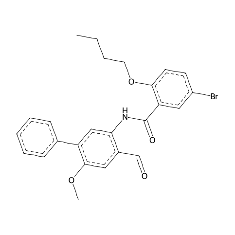 CCCCOc1ccc(Br)cc1C(=O)Nc1cc(-c2ccccc2)c(OC)cc1C=O